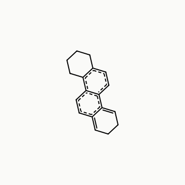 C1=c2ccc3c4c(ccc3c2=CCC1)CCCC4